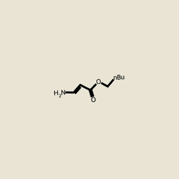 CCCCCOC(=O)C=CN